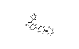 c1ncc(-c2c[nH]c3ncc([C@H]4CC[C@H](N5CCOCC5)CC4)cc23)s1